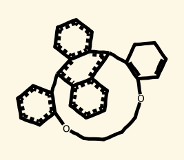 C1=CC2=C(CC1)c1c3ccccc3c(c3ccccc13)-c1ccccc1OCCCCO2